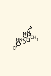 Cc1cn(CC2CC2)c2ncc(C(=O)Nc3ccc(Cl)cc3)c(Cl)c12